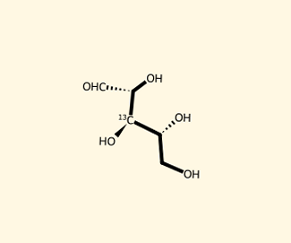 O=C[C@H](O)[13C@H](O)[C@H](O)CO